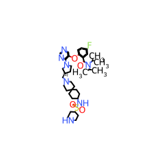 CC(C)N(C(=O)c1cc(F)ccc1Oc1cncnc1N1CC[C@@H](CN2CCC3(CCC(NS(=O)(=O)C4CCNCC4)CC3)CC2)C1)C(C)C